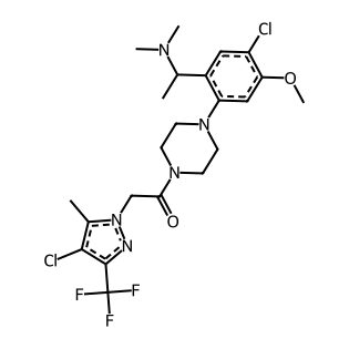 COc1cc(N2CCN(C(=O)Cn3nc(C(F)(F)F)c(Cl)c3C)CC2)c(C(C)N(C)C)cc1Cl